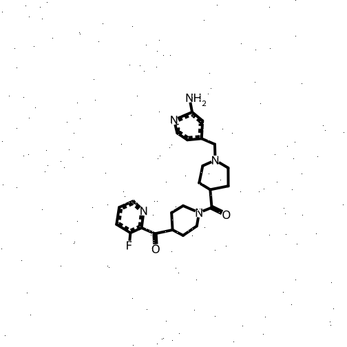 Nc1cc(CN2CCC(C(=O)N3CCC(C(=O)c4ncccc4F)CC3)CC2)ccn1